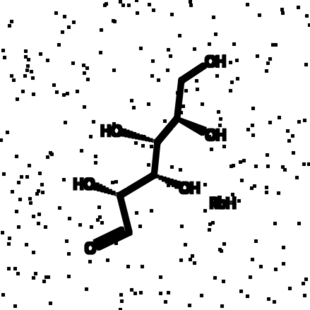 O=C[C@H](O)[C@@H](O)[C@H](O)[C@H](O)CO.[RbH]